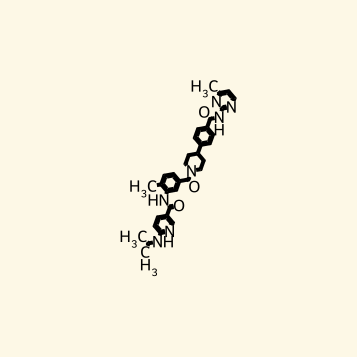 Cc1ccnc(NC(=O)c2ccc(C3CCN(C(=O)c4ccc(C)c(NC(=O)c5ccc(NC(C)C)nc5)c4)CC3)cc2)n1